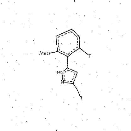 COc1cccc(F)c1-c1cc(I)n[nH]1